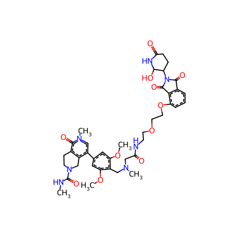 CNC(=O)N1CCc2c(c(-c3cc(OC)c(CN(C)CC(=O)NCCOCCOc4cccc5c4C(=O)N(C4CCC(=O)NC4O)C5=O)c(OC)c3)cn(C)c2=O)C1